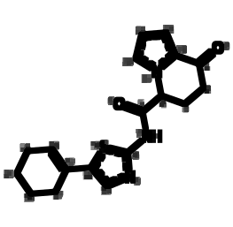 O=C1CCC(C(=O)Nc2ncc(C3=CCCCC3)s2)n2cccc21